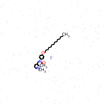 CCCCCCCCCCCCCCOc1ccc(N(Cc2ccc[n+](C)c2)C(C)=O)cc1.[I-]